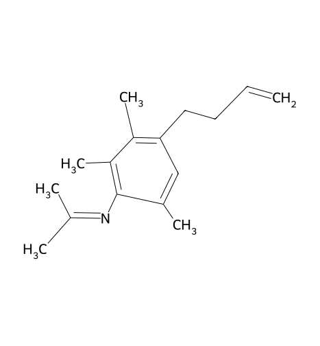 C=CCCc1cc(C)c(N=C(C)C)c(C)c1C